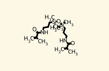 C=C(C)C(=O)NCCC[Si](C)(C)O[Si](C)(C)CCCNC(=O)C(=C)C